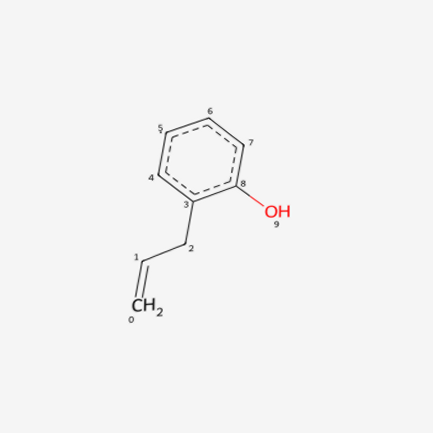 C=CCc1c[c]ccc1O